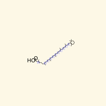 CC1=C(/C=C/C(C)=C/C=C/C(C)=C/C=C/C=C(C)/C=C/C=C(C)/C=C/C=C(\C)CC/C=C(\C)CC(=O)O)C(C)(C)CCC1